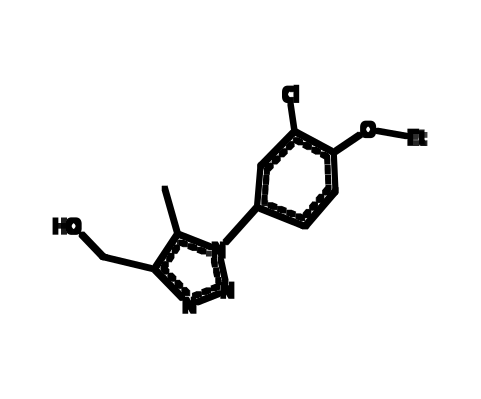 CCOc1ccc(-n2nnc(CO)c2C)cc1Cl